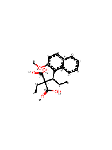 CCC(c1c(OC)ccc2ccccc12)C(CC)(C(=O)O)C(=O)O